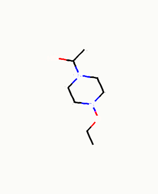 CCON1CCN(C(C)O)CC1